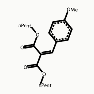 CCCCCOC(=O)C(=Cc1ccc(OC)cc1)C(=O)OCCCCC